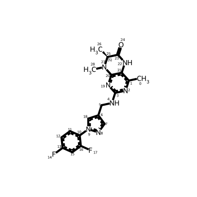 Cc1nc(NCc2cnn(-c3ccc(F)cc3F)c2)nc2c1NC(=O)[C@H](C)N2C